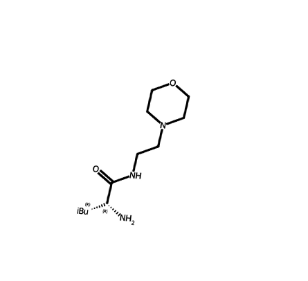 CC[C@@H](C)[C@@H](N)C(=O)NCCN1CCOCC1